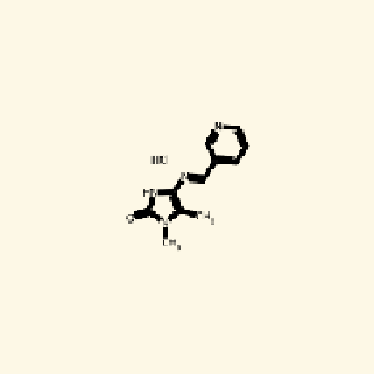 Cc1c(N=Cc2cccnc2)[nH]c(=O)n1C.Cl